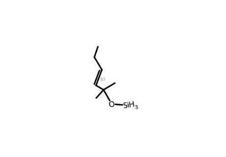 CC/C=C/C(C)(C)O[SiH3]